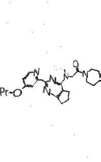 CCCOc1ccnc(-c2nc3c(c(N(C)CC(=O)N4CCCCC4)n2)CCC3)c1